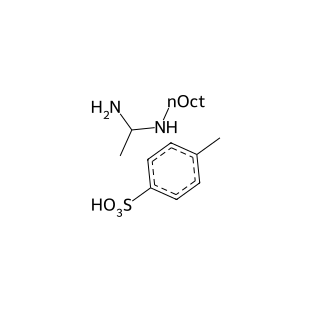 CCCCCCCCNC(C)N.Cc1ccc(S(=O)(=O)O)cc1